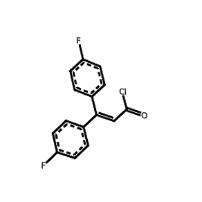 O=C(Cl)C=C(c1ccc(F)cc1)c1ccc(F)cc1